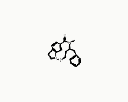 CN(C(=O)c1ccc2c(c1)OCC2)C(CCN)Cc1ccccc1